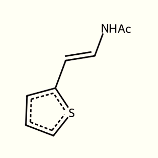 CC(=O)NC=Cc1cccs1